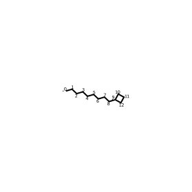 [CH2]CCCCCCCC[C]1CCC1